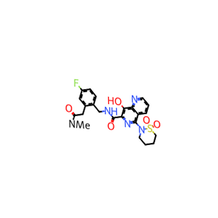 CNC(=O)Cc1cc(F)ccc1CNC(=O)c1nc(N2CCCCS2(=O)=O)c2cccnc2c1O